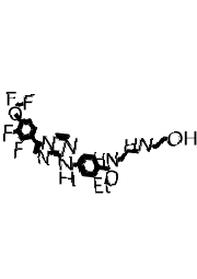 CCc1cc(Nc2nccn3c(-c4ccc(OC(F)F)c(F)c4F)cnc23)ccc1C(=O)NCCCNCCO